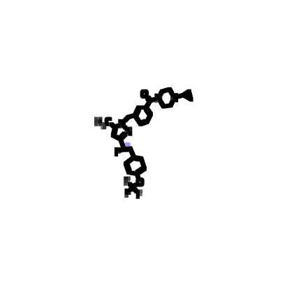 Cc1cc(/C(F)=C/c2ccc(OC(F)(F)F)cc2)nn1Cc1cccc(C(=O)N2CCN(C3CC3)CC2)c1